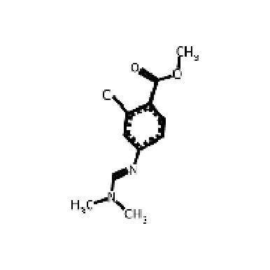 COC(=O)c1ccc(N=CN(C)C)cc1Cl